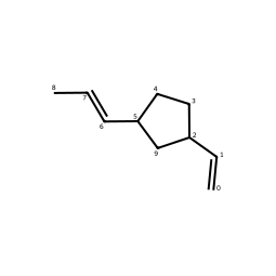 C=CC1CCC(/C=C/C)C1